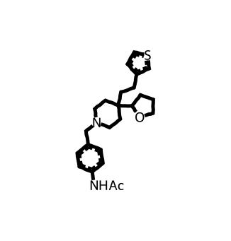 CC(=O)Nc1ccc(CN2CCC(CCc3ccsc3)(C3CCCO3)CC2)cc1